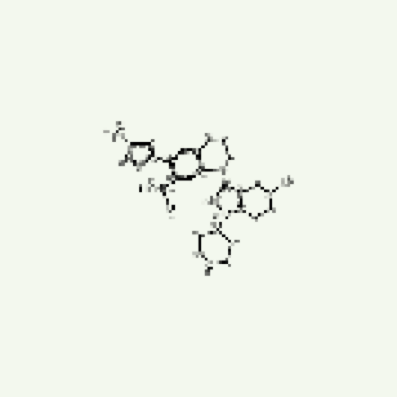 CC(=O)N1CCc2c(c(N3CCCc4cc(-c5cnn(C)c5)c(B(O)O)cc43)nn2C2CCOCC2)C1